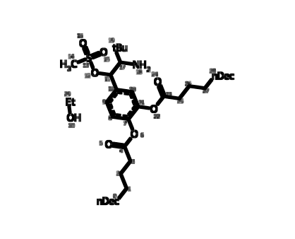 CCCCCCCCCCCCCC(=O)Oc1ccc(C(OS(C)(=O)=O)C(N)C(C)(C)C)cc1OC(=O)CCCCCCCCCCCCC.CCO